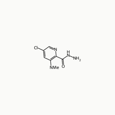 CNc1cc(Cl)cnc1C(=O)NN